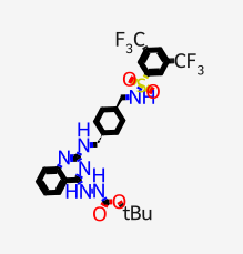 CC(C)(C)OC(=O)NNc1nc(NC[C@H]2CC[C@H](CNS(=O)(=O)c3cc(C(F)(F)F)cc(C(F)(F)F)c3)CC2)nc2ccccc12